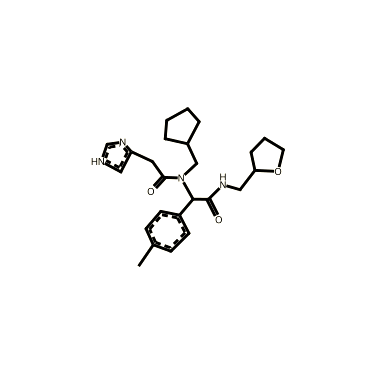 Cc1ccc(C(C(=O)NCC2CCCO2)N(CC2CCCC2)C(=O)Cc2c[nH]cn2)cc1